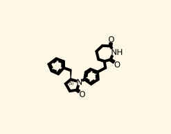 O=C1CCCC(Cc2ccc(N3C(=O)CC[C@H]3Cc3ccccc3)cc2)C(=O)N1